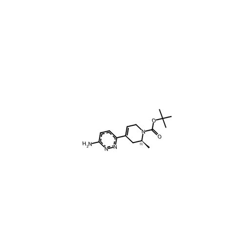 C[C@H]1CC(c2ccc(N)nn2)=CCN1C(=O)OC(C)(C)C